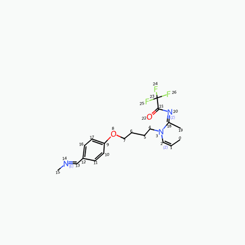 C/C=C\N(CCCCOc1ccc(/C=N/C)cc1)/C(C)=N\C(=O)C(F)(F)F